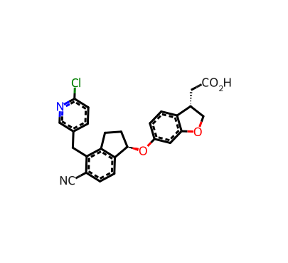 N#Cc1ccc2c(c1Cc1ccc(Cl)nc1)CC[C@H]2Oc1ccc2c(c1)OC[C@H]2CC(=O)O